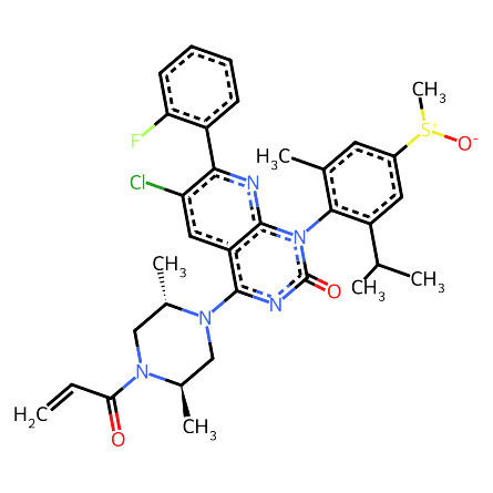 C=CC(=O)N1C[C@H](C)N(c2nc(=O)n(-c3c(C)cc([S+](C)[O-])cc3C(C)C)c3nc(-c4ccccc4F)c(Cl)cc23)C[C@H]1C